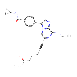 COC(=O)CCCC#Cc1cn2c(-c3ccc(C(=O)NC4CC4)cc3)cnc2c(NCC(C)C)n1